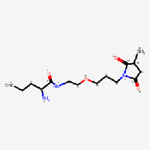 NC(CCC=O)C(=O)NCCOCCCN1C(=O)CC([SiH3])C1=O